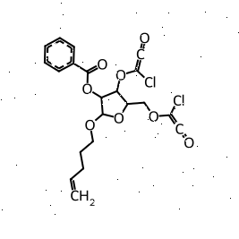 C=CCCCOC1OC(COC(Cl)=C=O)C(OC(Cl)=C=O)C1OC(=O)c1ccccc1